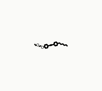 CCCCCCc1ccc(C#Cc2ccc(OCCOCC)cc2)cc1